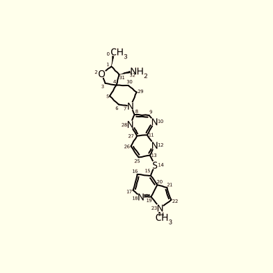 C[C@@H]1OCC2(CCN(c3cnc4nc(Sc5ccnc6c5ccn6C)ccc4n3)CC2)[C@@H]1N